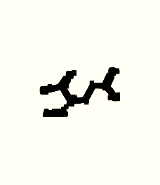 CC(=O)N[C@@H](CCC(=O)Cl)C(=O)Cl